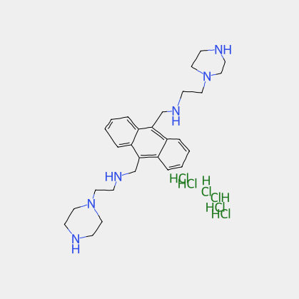 Cl.Cl.Cl.Cl.Cl.Cl.c1ccc2c(CNCCN3CCNCC3)c3ccccc3c(CNCCN3CCNCC3)c2c1